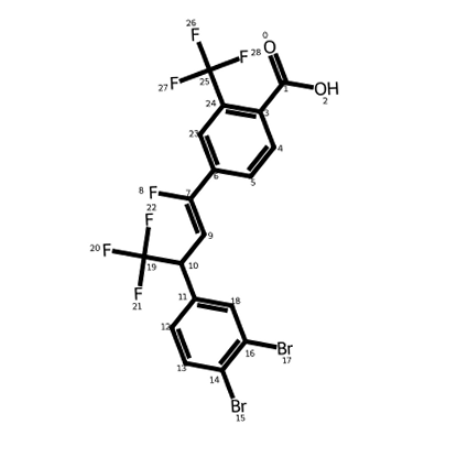 O=C(O)c1ccc(/C(F)=C/C(c2ccc(Br)c(Br)c2)C(F)(F)F)cc1C(F)(F)F